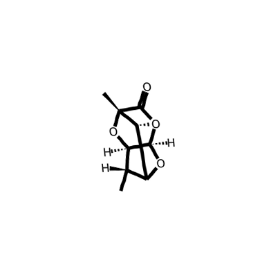 C[C@@H]1C2O[C@@H]3OC(=O)[C@@]1(C)O[C@@H]3[C@H]2C